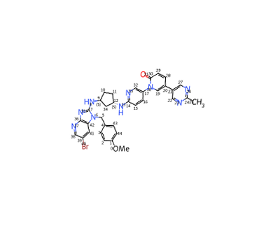 COc1ccc(Cn2c(N[C@H]3CC[C@H](Nc4ccc(-n5cc(-c6cnc(C)nc6)ccc5=O)cn4)C3)nc3ncc(Br)cc32)cc1